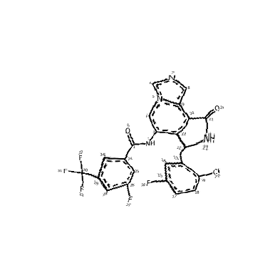 O=C(Nc1cn2cncc2c2c1C(c1cc(F)ccc1Cl)NC2=O)c1cc(F)cc(C(F)(F)F)c1